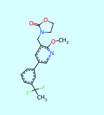 COc1ncc(-c2cccc(C(C)(F)F)c2)cc1CN1CCOC1=O